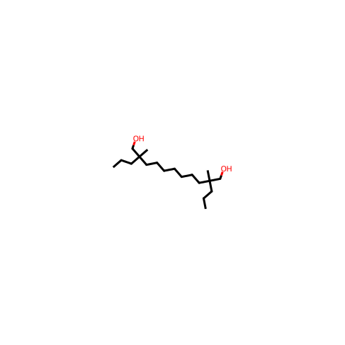 CCCC(C)(CO)CCCCCCCC(C)(CO)CCC